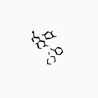 N#Cc1cnc2cnc(N[C@H](CN3CCOCC3)c3ccccc3)cc2c1Nc1ccc(F)c(Cl)c1